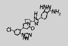 Nc1n[nH]c2cc(-c3cnc(C4CCc5cc(-c6cc(Cl)ccc6-n6cnnn6)cc(=O)n54)[nH]3)ccc12